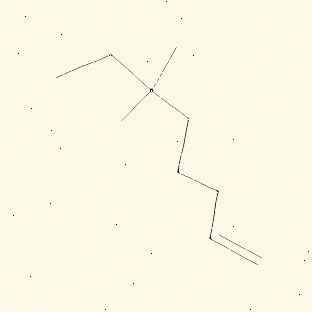 [CH2]CC(C)(C)CCCC=C